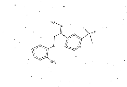 Cc1ccccc1[CH]C/C(=N\O)c1ccnc(C(F)(F)F)c1